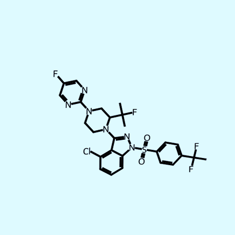 CC(F)(F)c1ccc(S(=O)(=O)n2nc(N3CCN(c4ncc(F)cn4)CC3C(C)(C)F)c3c(Cl)cccc32)cc1